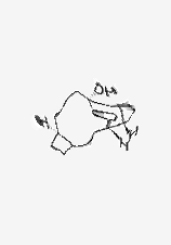 O[C@@]12CC[C@@H]3CCC3C[C@H](O1)[C@H]1CC12